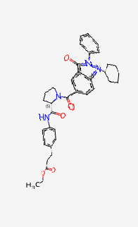 CCOC(=O)CCc1ccc(NC(=O)[C@@H]2CCCN2C(=O)c2ccc3c(c2)c(=O)n(-c2ccccc2)n3C2CCCCC2)cc1